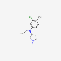 C=CCN(c1ccc(C#N)c(Cl)c1)[C@H]1CCN(C)C1